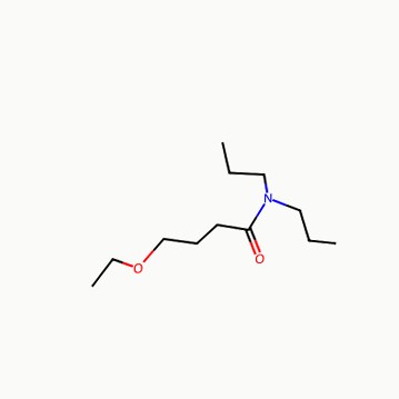 CCCN(CCC)C(=O)CCCOCC